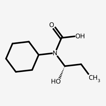 CC[C@H](O)N(C(=O)O)C1CCCCC1